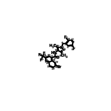 Cc1nn(Cc2cc(F)ccc2F)c(C)c1NC(=O)c1cc(C(F)(F)F)nc2ccc(Br)cc12